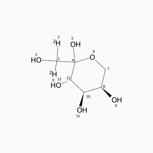 [2H]C([2H])(O)C1(O)OC[C@@H](O)[C@@H](O)[C@@H]1O